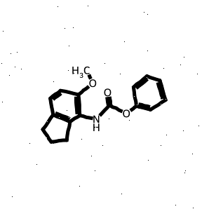 COc1ccc2c(c1NC(=O)Oc1ccccc1)CCC2